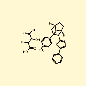 Cc1ccc([C@H]2C[C@@H]3CC[C@H]([C@H]2c2ncc(-c4ccccc4)o2)N3C)cc1.O=C(O)C(O)C(O)C(=O)O